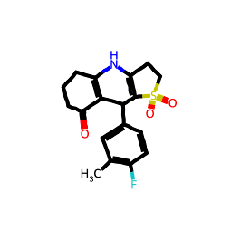 Cc1cc(C2C3=C(CCCC3=O)NC3=C2S(=O)(=O)CC3)ccc1F